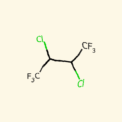 FC(F)(F)C(Cl)C(Cl)C(F)(F)F